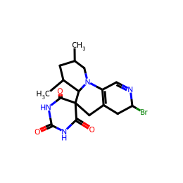 CC1CC(C)C2N(C1)C1=C(CC(Br)N=C1)CC21C(=O)NC(=O)NC1=O